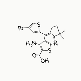 CC1(C)CCc2c1nc1sc(C(=O)O)c(N)c1c2-c1cc(Br)cs1